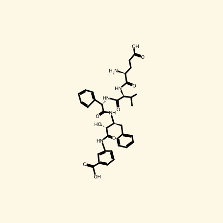 CC(C)[C@H](NC(=O)[C@@H](N)CCC(=O)O)C(=O)N[C@H](C(=O)N[C@@H](Cc1ccccc1)[C@@H](O)C(=O)Nc1cccc(C(=O)O)c1)c1ccccc1